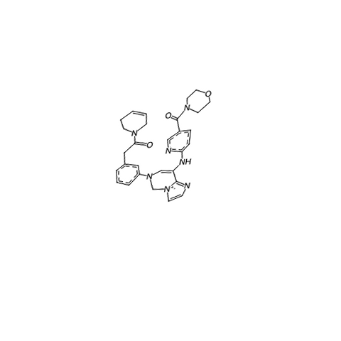 O=C(Cc1cccc(N2C=C(Nc3ccc(C(=O)N4CCOCC4)cn3)C3=NC=C[N+]3C2)c1)N1CC=CCC1